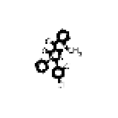 Cn1c2ccccc2c(=O)c2c(=O)n(-c3ccccc3)c(-c3ccc(Cl)cc3Cl)nc21